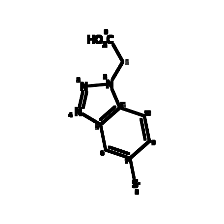 O=C(O)Cn1nnc2cc([S])ccc21